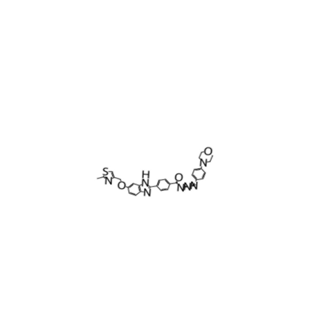 Cc1nc(COc2ccc3nc(-c4ccc(C(=O)N=[N+]=Nc5ccc(N6CCOCC6)cc5)cc4)[nH]c3c2)cs1